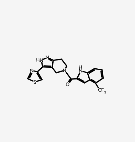 O=C(c1cc2c(C(F)(F)F)cccc2[nH]1)N1CCc2n[nH]c(-c3cscn3)c2C1